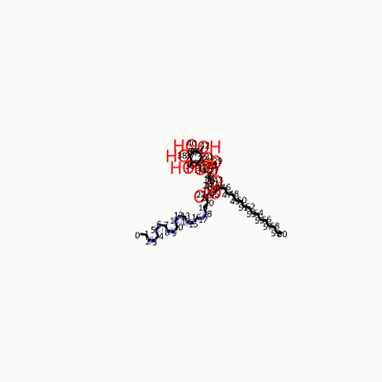 CC/C=C\C/C=C\C/C=C\C/C=C\C/C=C\C/C=C\CCC(=O)OC[C@H](COP(=O)(O)OC1C(O)C(O)C(O)[C@@H](O)C1O)OC(=O)CCCCCCCCCCCCCCC